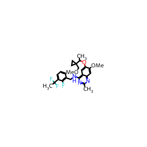 COCC1(C(C)Oc2cc3c(NCc4cccc(C(C)(F)F)c4F)nc(C)nc3cc2OC)CC1